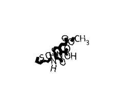 CCOC(=O)C=CC1=C(C(=O)O)N2C(=O)[C@@H](NC(=O)Cc3cccs3)[C@@H]2SC1